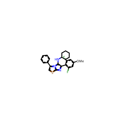 COc1cc(F)c(-c2nc3scc(-c4ccccc4)n3c2NC2CCCCC2)c(F)c1